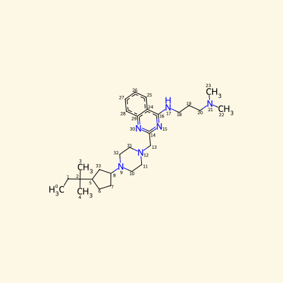 CCC(C)(C)C1CCC(N2CCN(Cc3nc(NCCCN(C)C)c4ccccc4n3)CC2)C1